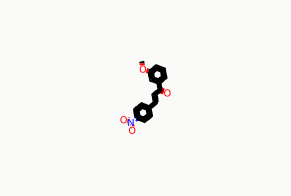 COc1cccc(C(=O)/C=C/c2ccc([N+](=O)[O-])cc2)c1